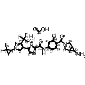 Cn1c(-c2cn(C3CC3(F)F)nc2C(F)(F)F)cnc1C(=O)Nc1ccc(C(=O)N2CC3C(N)C3C2)c(Cl)c1.O=CO